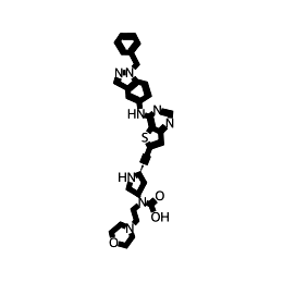 O=C(O)N(CCN1CCOCC1)[C@H]1CN[C@H](C#Cc2cc3ncnc(Nc4ccc5c(cnn5Cc5ccccc5)c4)c3s2)C1